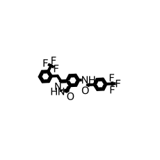 O=C(Nc1ccc2c(Cc3ccccc3C(F)(F)F)n[nH]c(=O)c2c1)c1ccc(C(F)(F)F)cc1